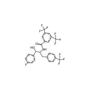 O=C(NC(Cc1ccc(C(F)(F)F)cc1)C(O)c1ccc(F)cc1)c1cc(C(F)(F)F)cc(C(F)(F)F)c1